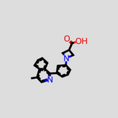 Cc1cnc(-c2cccc(N3CC(C(=O)O)C3)c2)c2ccccc12